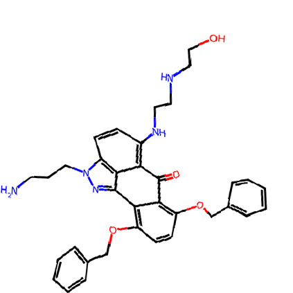 NCCCn1nc2c3c(c(NCCNCCO)ccc31)C(=O)c1c(OCc3ccccc3)ccc(OCc3ccccc3)c1-2